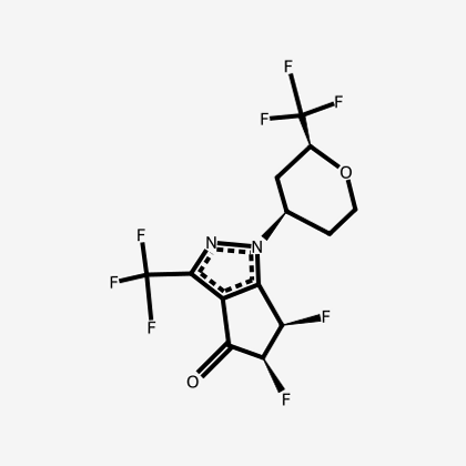 O=C1c2c(C(F)(F)F)nn([C@@H]3CCO[C@H](C(F)(F)F)C3)c2[C@@H](F)[C@H]1F